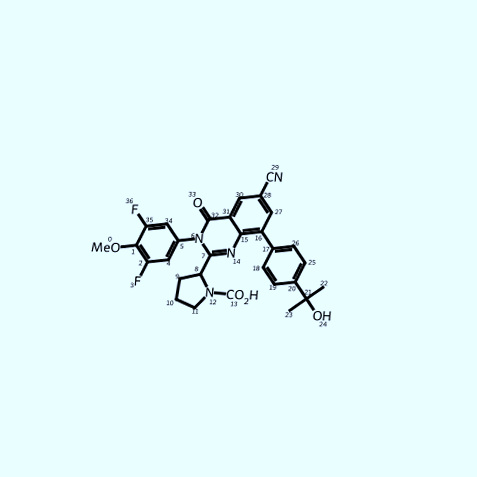 COc1c(F)cc(-n2c(C3CCCN3C(=O)O)nc3c(-c4ccc(C(C)(C)O)cc4)cc(C#N)cc3c2=O)cc1F